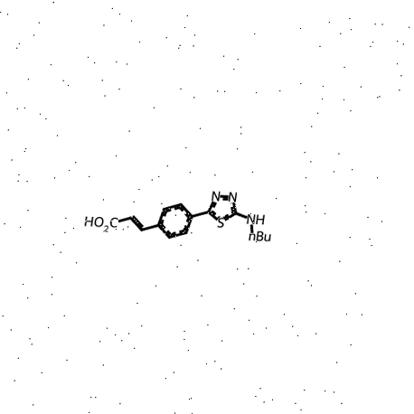 CCCCNc1nnc(-c2ccc(C=CC(=O)O)cc2)s1